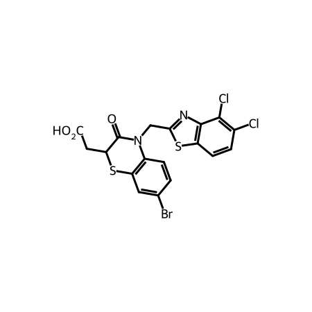 O=C(O)CC1Sc2cc(Br)ccc2N(Cc2nc3c(Cl)c(Cl)ccc3s2)C1=O